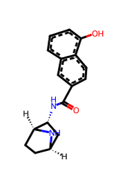 O=C(N[C@@H]1C[C@H]2CC[C@@H]1N2)c1ccc2c(O)cccc2c1